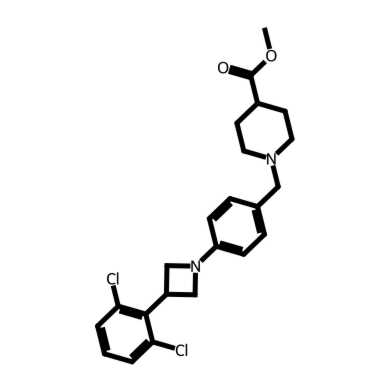 COC(=O)C1CCN(Cc2ccc(N3CC(c4c(Cl)cccc4Cl)C3)cc2)CC1